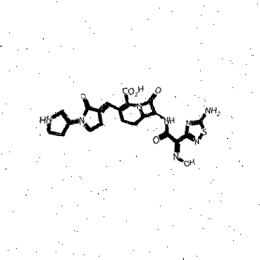 Nc1nc(/C(=N\O)C(=O)N[C@@H]2C(=O)N3C(C(=O)O)=C(/C=C4\CCN(C5CCNC5)C4=O)CCC23)ns1